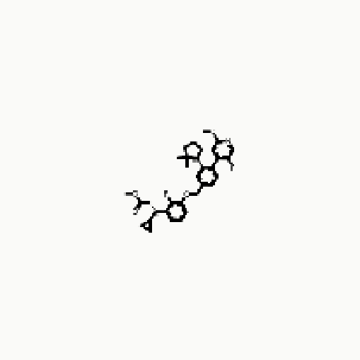 COC(=O)C[C@H](c1cccc(OCc2ccc(-c3cc(OC)ncc3F)c([C@@H]3CCCC3(C)C)c2)c1F)C1CC1